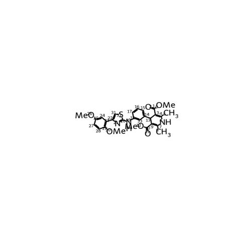 COC(=O)C1=C(C)NC(C)=C(C(=O)OC)C1c1cccc(Nc2nc(-c3cc(OC)ccc3OC)cs2)c1